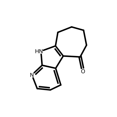 O=C1CCCCc2[nH]c3ncccc3c21